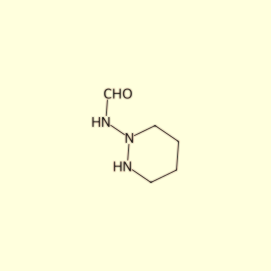 O=CNN1CCCCN1